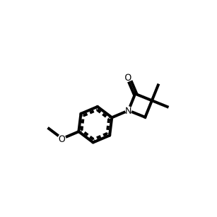 COc1ccc(N2CC(C)(C)C2=O)cc1